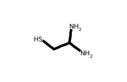 NC(N)CS